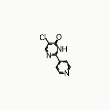 O=c1[nH]c(-c2ccncc2)ncc1Cl